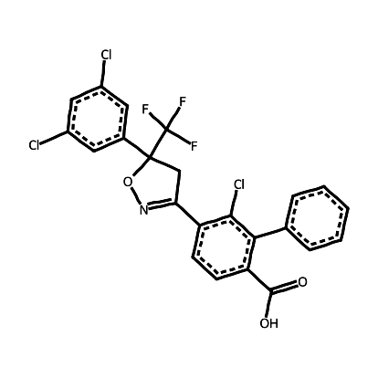 O=C(O)c1ccc(C2=NOC(c3cc(Cl)cc(Cl)c3)(C(F)(F)F)C2)c(Cl)c1-c1ccccc1